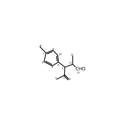 C=C(C)C(c1ccc(C)cc1)C(C)C=O